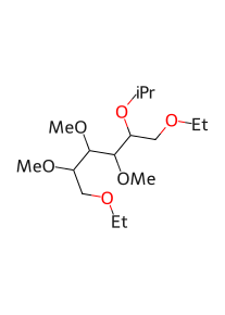 CCOCC(OC)C(OC)C(OC)C(COCC)OC(C)C